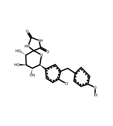 CCOc1ccc(Cc2cc([C@@H]3OC4(NC(=O)NC4=O)[C@@H](O)[C@H](O)[C@H]3O)ccc2Cl)cc1